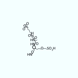 CC(NC(=O)CNC(=O)CCCCCN1C(=O)C=CC1=O)C(=O)Nc1ccc(COC=N)c(CCCOCCCS(=O)(=O)O)c1